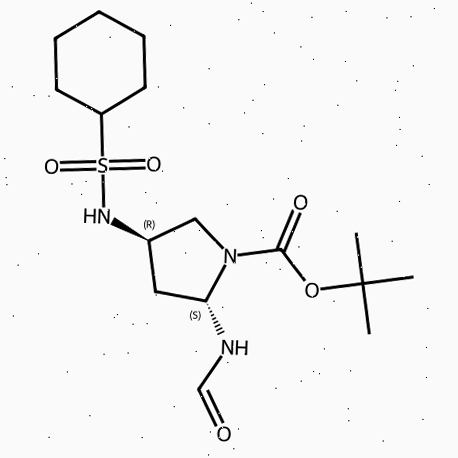 CC(C)(C)OC(=O)N1C[C@H](NS(=O)(=O)C2CCCCC2)C[C@H]1NC=O